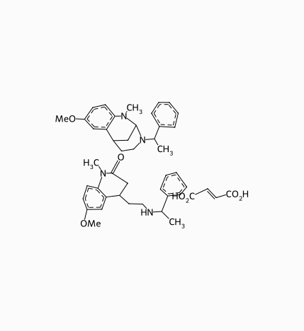 COc1ccc2c(c1)C(CCNC(C)c1ccccc1)CC(=O)N2C.COc1ccc2c(c1)C1CCN(C(C)c3ccccc3)C(C1)N2C.O=C(O)/C=C/C(=O)O